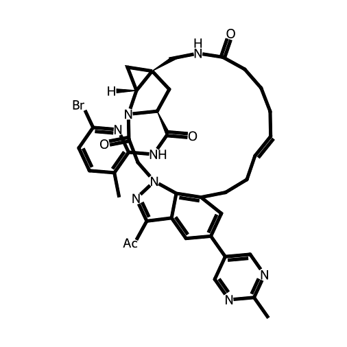 CC(=O)c1nn2c3c(cc(-c4cnc(C)nc4)cc13)CC/C=C/CCCC(=O)NC[C@@]13C[C@@H](C(=O)Nc4nc(Br)ccc4C)N(C(=O)C2)[C@@H]1C3